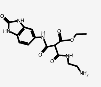 CCOC(=O)C(C(=O)NCCN)C(=O)Nc1ccc2[nH]c(=O)[nH]c2c1